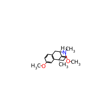 CO/C=C1/[C@H]2Cc3ccc(OC)cc3[C@]1(C)CCN2C